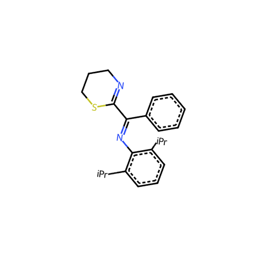 CC(C)c1cccc(C(C)C)c1/N=C(/C1=NCCCS1)c1ccccc1